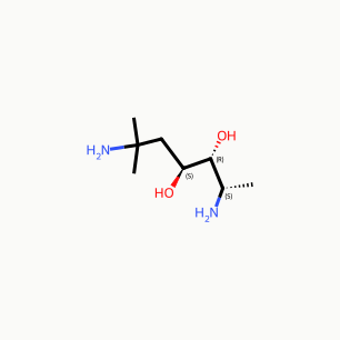 C[C@H](N)[C@@H](O)[C@@H](O)CC(C)(C)N